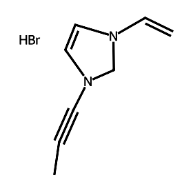 Br.C=CN1C=CN(C#CC)C1